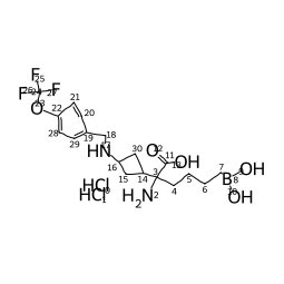 Cl.Cl.NC(CCCCB(O)O)(C(=O)O)C1CC(NCc2ccc(OC(F)(F)F)cc2)C1